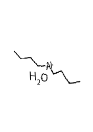 CCC[CH2][Al][CH2]CCC.O